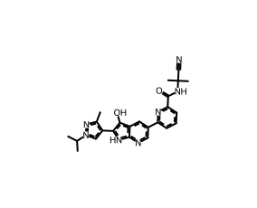 Cc1nn(C(C)C)cc1-c1[nH]c2ncc(-c3cccc(C(=O)NC(C)(C)C#N)n3)cc2c1O